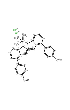 CCC1=Cc2c(-c3ccc(OC)cc3)cccc2[CH]1[Zr]([CH3])([CH3])(=[SiH2])[CH]1C(CC)=Cc2c(-c3ccc(OC)cc3)cccc21.Cl.Cl